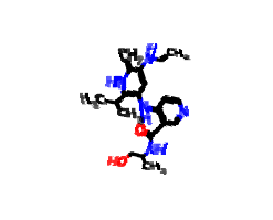 C=CNC1=CC(Nc2ccncc2C(=O)NC(C)CO)=C(C(C)C)NC1=C